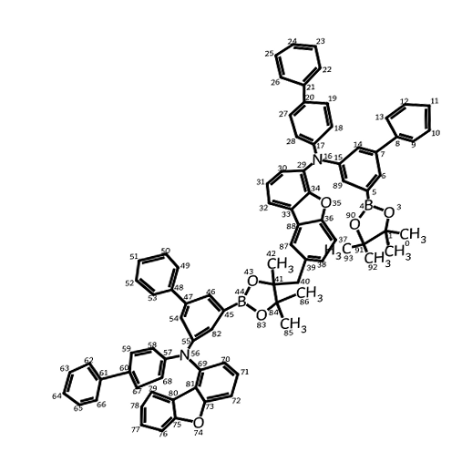 CC1(C)OB(c2cc(-c3ccccc3)cc(N(c3ccc(-c4ccccc4)cc3)c3cccc4c3oc3ccc(CC5(C)OB(c6cc(-c7ccccc7)cc(N(c7ccc(-c8ccccc8)cc7)c7cccc8oc9ccccc9c78)c6)OC5(C)C)cc34)c2)OC1(C)C